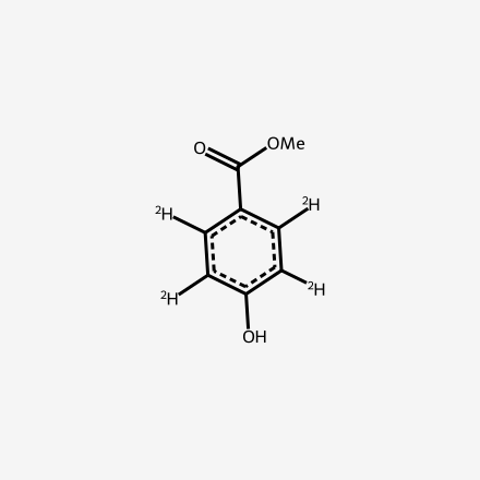 [2H]c1c([2H])c(C(=O)OC)c([2H])c([2H])c1O